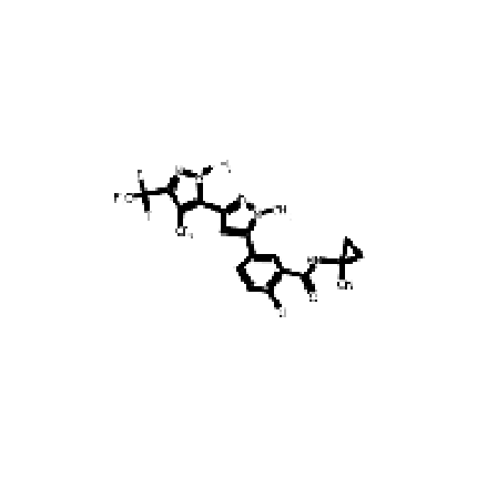 Cn1nc(-c2c(C(F)(F)F)c(C(F)(F)C(F)(F)F)nn2C)cc1-c1ccc(Cl)c(C(=O)NC2(C#N)CC2)c1